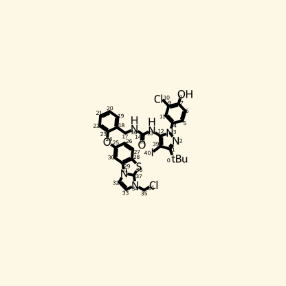 CC(C)(C)c1nn(-c2ccc(O)c(Cl)c2)c(NC(=O)NCc2ccccc2Oc2ccc3c(c2)N2C=CN(CCl)C2S3)c1I